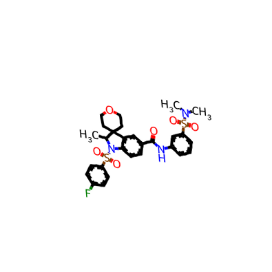 CC1N(S(=O)(=O)c2ccc(F)cc2)c2ccc(C(=O)Nc3cccc(S(=O)(=O)N(C)C)c3)cc2C12CCOCC2